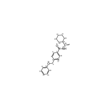 C[C@@H](NC(=O)c1ccc(COc2ccccc2)nc1)C1CCCCC1